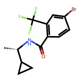 C[C@H](NC(=O)c1ccc(Br)cc1C(F)(F)F)C1CC1